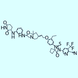 CCc1cc(N2C(=S)N(c3cnc(C#N)c(C(F)(F)F)c3)C(=O)C23CCC3)ccc1OC/C=C1\CCN(CC(=O)Nc2cccc(NC3CCC(=O)NC3=O)c2)C(C)(C)C1